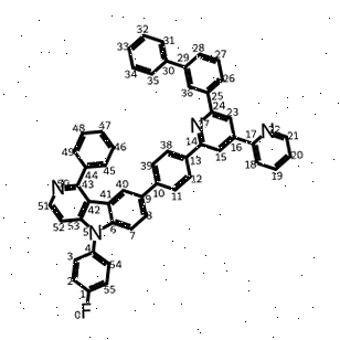 Fc1ccc(-n2c3ccc(-c4ccc(-c5cc(-c6ccccn6)cc(-c6cccc(-c7ccccc7)c6)n5)cc4)cc3c3c(-c4ccccc4)nccc32)cc1